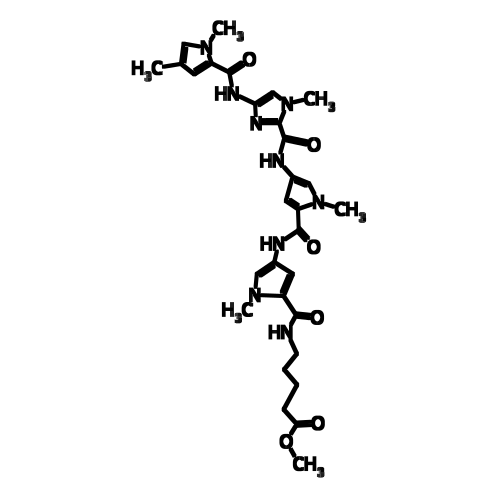 COC(=O)CCCCNC(=O)c1cc(NC(=O)c2cc(NC(=O)c3nc(NC(=O)c4cc(C)cn4C)cn3C)cn2C)cn1C